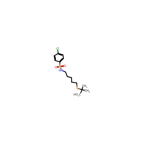 CC(C)(SCCCCCNS(=O)(=O)c1ccc(Cl)cc1)C(=O)O